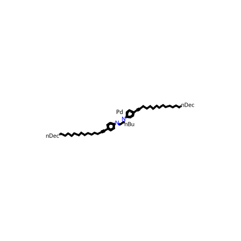 CCCCCCCCCCCCCCCCCCCCCCC#Cc1ccc(N=CC(CCCC)=Nc2ccc(C#CCCCCCCCCCCCCCCCCCCCCCC)cc2)cc1.[Pd]